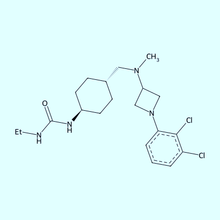 CCNC(=O)N[C@H]1CC[C@H](CN(C)C2CN(c3cccc(Cl)c3Cl)C2)CC1